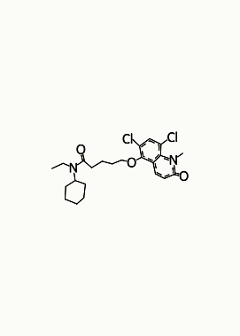 CCN(C(=O)CCCCOc1c(Cl)cc(Cl)c2c1ccc(=O)n2C)C1CCCCC1